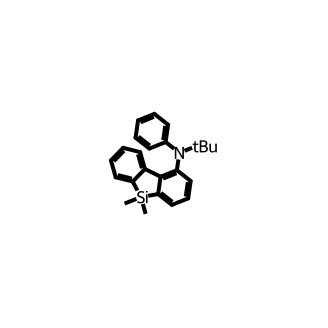 CC(C)(C)N(c1ccccc1)c1cccc2c1-c1ccccc1[Si]2(C)C